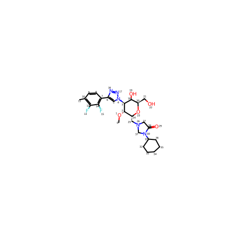 CO[C@@H]1[C@@H](n2cc(-c3ccc(C)c(F)c3F)nn2)[C@@H](O)[C@@H](CO)O[C@@H]1CN1CC(=O)N(C2CCCCC2)C1